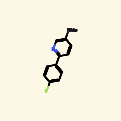 CNc1ccc(-c2ccc(F)cc2)nc1